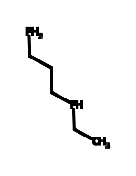 CCPCCCP